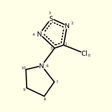 Clc1nsnc1N1CCCC1